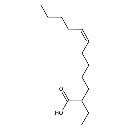 CCCC/C=C\CCCCC(CC)C(=O)O